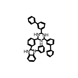 c1ccc(-c2cccc(C3NC(c4cccc(-c5ccccc5)c4)NC(c4cccc(C5Nc6ccccc6N5c5ccccc5)c4)N3)c2)cc1